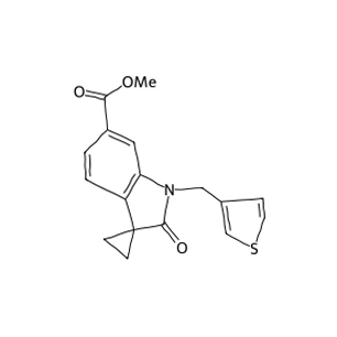 COC(=O)c1ccc2c(c1)N(Cc1ccsc1)C(=O)C21CC1